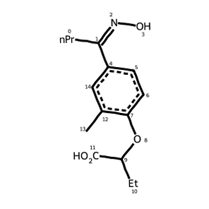 CCC/C(=N/O)c1ccc(OC(CC)C(=O)O)c(C)c1